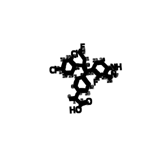 C=C(C(=O)O)c1ccc(/C(=C(/CCF)c2ccc(Cl)cc2Cl)c2ccc3[nH]ncc3c2F)cc1